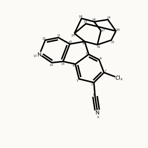 N#Cc1cc2c(cc1Cl)C1(c3ccncc3-2)C2CC3CC(C2)CC1C3